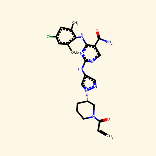 C=CC(=O)N1CCC[C@H](n2cc(Nc3ncc(C(N)=O)c(Nc4c(C)cc(Cl)cc4OC)n3)cn2)C1